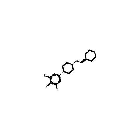 Fc1cc([C@H]2CC[C@@H](CC=C3CCCCC3)CC2)cc(I)c1F